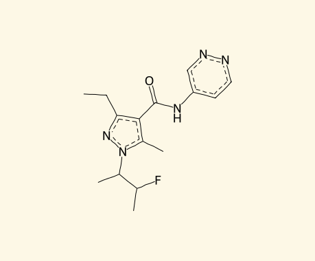 CCc1nn(C(C)C(C)F)c(C)c1C(=O)Nc1ccnnc1